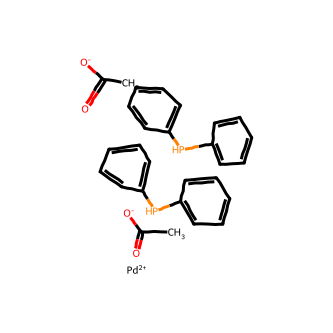 CC(=O)[O-].CC(=O)[O-].[Pd+2].c1ccc(Pc2ccccc2)cc1.c1ccc(Pc2ccccc2)cc1